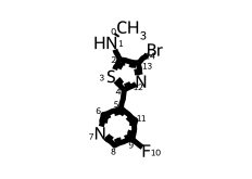 CNc1sc(-c2cncc(F)c2)nc1Br